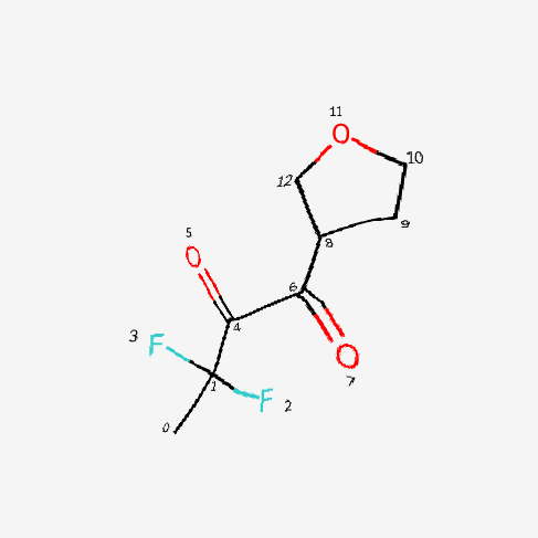 CC(F)(F)C(=O)C(=O)C1CCOC1